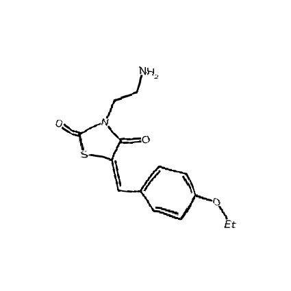 CCOc1ccc(C=C2SC(=O)N(CCN)C2=O)cc1